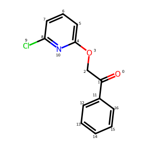 O=C(COc1cccc(Cl)n1)c1ccccc1